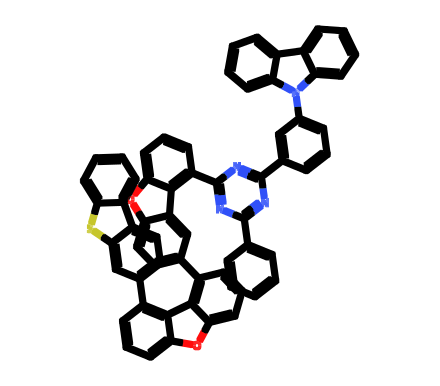 c1ccc(-c2nc(-c3cccc(-n4c5ccccc5c5ccccc54)c3)nc(-c3cccc4oc5ccc(-c6cccc7oc8cccc(-c9ccc%10c(c9)sc9ccccc9%10)c8c67)cc5c34)n2)cc1